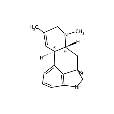 CC1=C[C@@H]2c3cccc4c3C(Br)(CN4)C[C@H]2N(C)C1